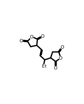 CCC(C=CC1CC(=O)OC1=O)C1CC(=O)OC1=O